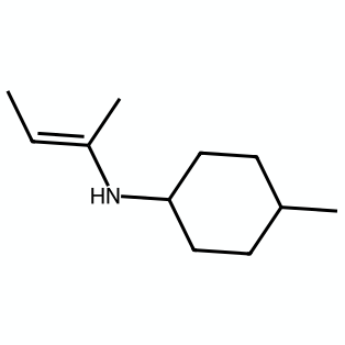 C/C=C(\C)NC1CCC(C)CC1